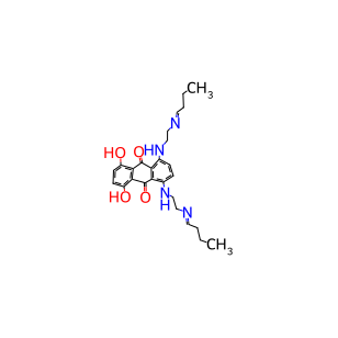 CCCC=NCCNc1ccc(NCCN=CCCC)c2c1C(=O)c1c(O)ccc(O)c1C2=O